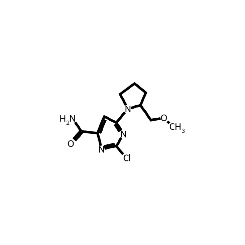 COCC1CCCN1c1cc(C(N)=O)nc(Cl)n1